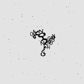 CN1C(=O)C2(CCC2)c2c1cnc1ccc(-c3cnc(OCCCN4CCCCC4)c(NS(=O)(=O)c4cncs4)c3)cc21